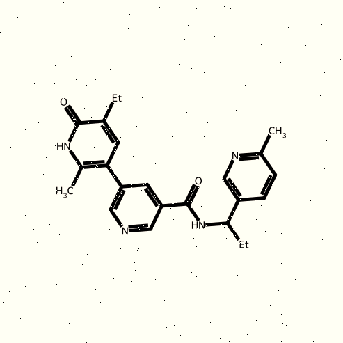 CCc1cc(-c2cncc(C(=O)NC(CC)c3ccc(C)nc3)c2)c(C)[nH]c1=O